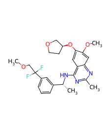 COCC(F)(F)c1cccc([C@@H](C)Nc2nc(C)nc3cc(OC)c(O[C@H]4CCOC4)cc23)c1